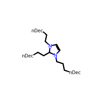 CCCCCCCCCCCCCN1C=CN(CCCCCCCCCCCC)C1CCCCCCCCCCCC